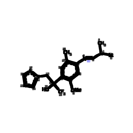 CCN(C)/C=N/c1cc(OC)c(C(O)(Cn2cncn2)C(F)(F)F)cc1C